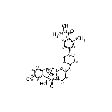 Cc1cc(N2CCC(CC3CCN(C(=O)[C@](O)(c4cccc(Cl)c4)C(F)(F)F)CC3)CC2)ccc1C(=O)N(C)C